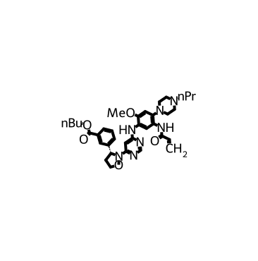 C=CC(=O)Nc1cc(Nc2cc(N3OCC[C@@H]3c3cccc(C(=O)OCCCC)c3)ncn2)c(OC)cc1N1CCN(CCC)CC1